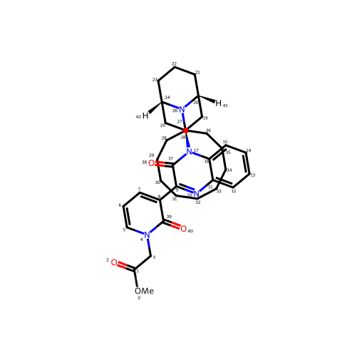 COC(=O)Cn1cccc(-c2nc3ccccc3n([C@@H]3C[C@H]4CCC[C@@H](C3)N4C3CCCCCCCCC3)c2=O)c1=O